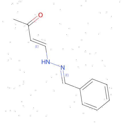 CC(=O)/C=C/N/N=C/c1ccccc1